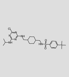 CC(C)Nc1nc(Cl)nc(NCC2CCC(CNS(=O)(=O)c3ccc(C(C)(C)C)cc3)CC2)n1